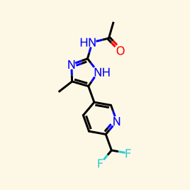 CC(=O)Nc1nc(C)c(-c2ccc(C(F)F)nc2)[nH]1